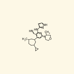 CC1CCC(C2CC2)CC(c2cc(N3CCOCC3C)nc(Nc3cc[nH]n3)c2C=N)C1